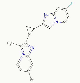 CCc1ccn2c(C)c(C3CC3c3cn4ccc(F)cc4n3)nc2c1